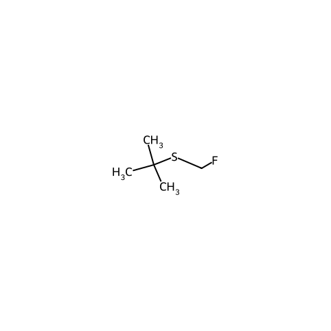 CC(C)(C)SCF